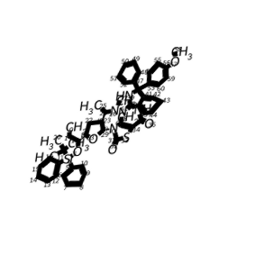 CCC(O[Si](c1ccccc1)(c1ccccc1)C(C)(C)C)[C@@H]1C[C@@H](C(C)N(C)C)[C@H](n2c(=O)sc3c(=O)[nH]c(NC(c4ccccc4)(c4ccccc4)c4ccc(OC)cc4)nc32)O1